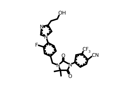 CC1(C)C(=O)N(c2ccc(C#N)c(C(F)(F)F)c2)C(=O)N1Cc1ccc(-n2cnc(CCO)c2)c(F)c1